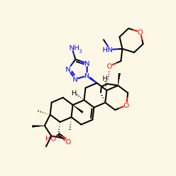 CNC1(CO[C@H]2[C@H](n3nnc(N)n3)C[C@@]34COC[C@]2(C)[C@@H]3CC[C@H]2C4=CC[C@@]3(C)[C@H](C(=O)O)[C@@](C)([C@H](C)C(C)C)CC[C@]23C)CCOCC1